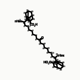 CCCCCCC(CSCCCCCC(=O)CCCCCSCC(CCCCCC)C1C2CC3CC(C2)CC1(C(=O)O)C3)C1C2CC3CC(C2)CC1(C(=O)O)C3